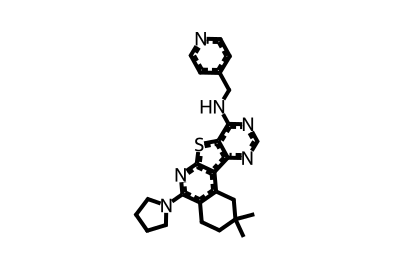 CC1(C)CCc2c(N3CCCC3)nc3sc4c(NCc5ccncc5)ncnc4c3c2C1